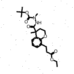 CCOC(=O)CCc1cccc2c1OCCC2(C)C(=O)NN(C)C(=O)OC(C)(C)C